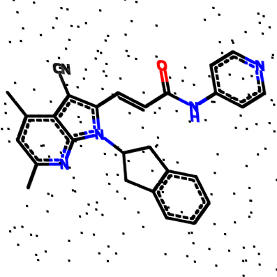 Cc1cc(C)c2c(C#N)c(C=CC(=O)Nc3ccncc3)n(C3Cc4ccccc4C3)c2n1